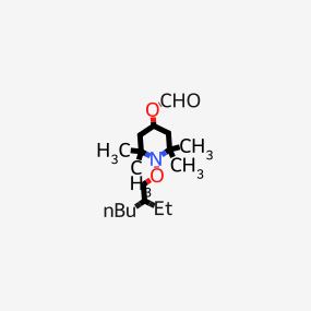 CCCCC(CC)CON1C(C)(C)CC(OC=O)CC1(C)C